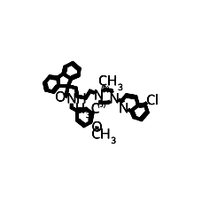 COc1ccc(CNC(=O)C2(CCCCN3[C@H](C)CN(c4ccc5c(Cl)cccc5n4)C[C@@H]3C)c3ccccc3-c3ccccc32)cc1